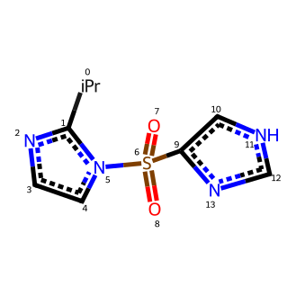 CC(C)c1nccn1S(=O)(=O)c1c[nH]cn1